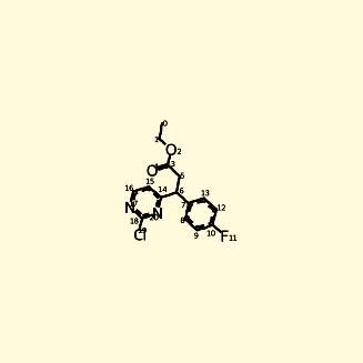 CCOC(=O)CC(c1ccc(F)cc1)c1ccnc(Cl)n1